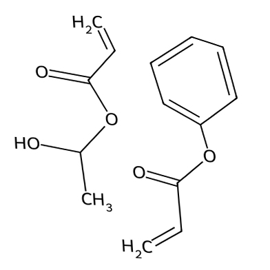 C=CC(=O)OC(C)O.C=CC(=O)Oc1ccccc1